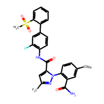 COc1ccc(-n2nc(C(F)(F)F)cc2C(=O)Nc2ccc(-c3ccccc3S(C)(=O)=O)cc2F)c(C(N)=O)c1